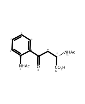 CC(=O)Nc1ccccc1C(=O)C[C@H](NC(C)=O)C(=O)O